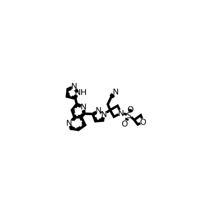 N#CCC1(n2ccc(-c3nc(-c4ccn[nH]4)cc4ncccc34)n2)CN(S(=O)(=O)C2COC2)C1